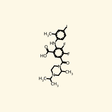 Cc1cc(I)ccc1Nc1c(C(=O)O)cc(C(=O)N2CCN(C(C)C)CC2C)c(F)c1F